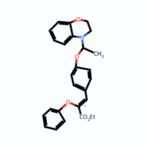 CCOC(=O)/C(=C/c1ccc(OC(C)N2CCOc3ccccc32)cc1)Oc1ccccc1